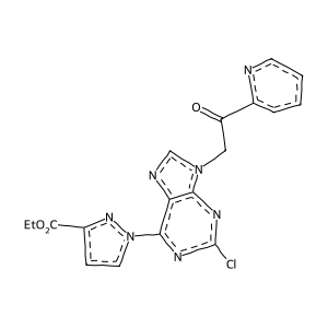 CCOC(=O)c1ccn(-c2nc(Cl)nc3c2ncn3CC(=O)c2ccccn2)n1